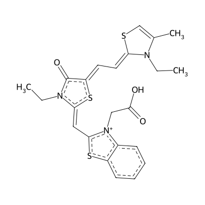 CCN1C(C)=CSC1=CC=c1sc(=Cc2sc3ccccc3[n+]2CC(=O)O)n(CC)c1=O